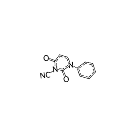 N#Cn1c(=O)ccn(-c2ccccc2)c1=O